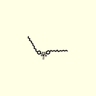 CCCCCCCCCCCCC1CCC(S(=O)(=O)C(=[N+]=[N-])S(=O)(=O)C2CCC(CCCCCCCCCCCC)CC2)CC1